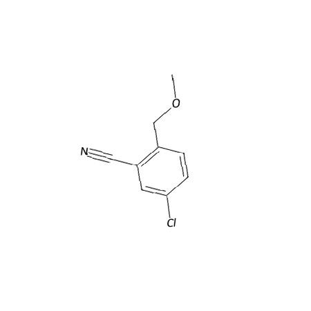 COCc1ccc(Cl)cc1C#N